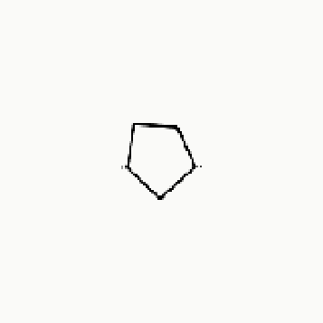 [CH]1C[CH]CC1